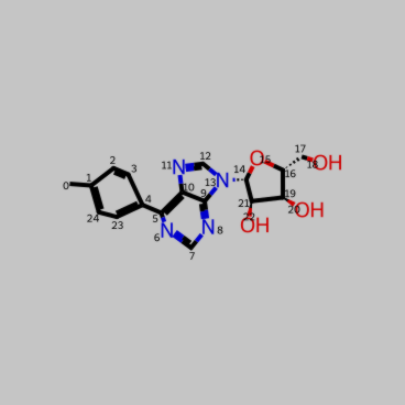 Cc1ccc(-c2ncnc3c2ncn3[C@@H]2O[C@H](CO)[C@@H](O)[C@H]2O)cc1